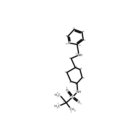 CC(C)(C)S(=O)(=O)NC1CCC(CNc2ccccn2)CC1